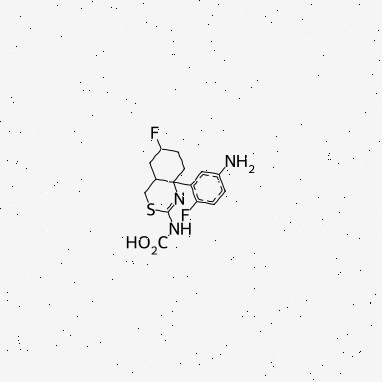 Nc1ccc(F)c(C23CCC(F)CC2CSC(NC(=O)O)=N3)c1